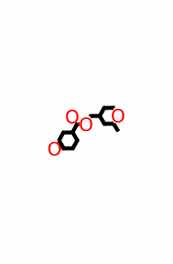 CC1CC(COC(=O)C2CCC3OC3C2)CCO1